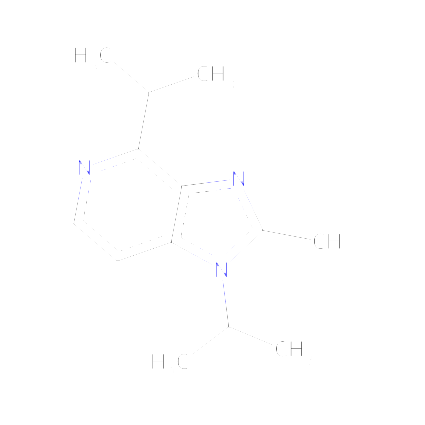 Cc1nc2c(C(C)C)nccc2n1C(C)C